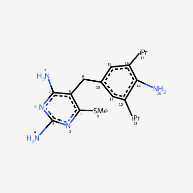 CSc1nc(N)nc(N)c1Cc1cc(C(C)C)c(N)c(C(C)C)c1